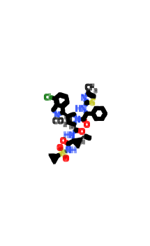 C=C[C@@H]1C[C@]1(NC(=O)[C@@H]1C[C@@H](C2c3cccc(Cl)c3CN2C(=O)O)CN1C(=O)C(Nc1nc(C(F)(F)F)cs1)C1CCCCC1)C(=O)NS(=O)(=O)C1CC1